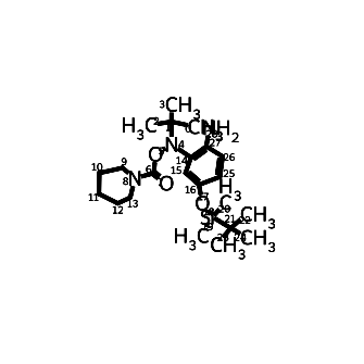 CC(C)(C)N(OC(=O)N1CCCCC1)c1cc(O[Si](C)(C)C(C)(C)C)ccc1N